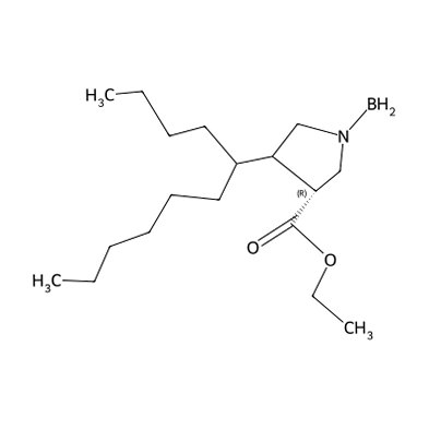 BN1CC(C(CCCC)CCCCCC)[C@@H](C(=O)OCC)C1